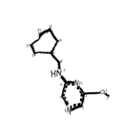 COc1cncc(NCC2CCCCC2)n1